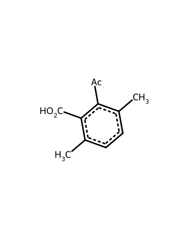 CC(=O)c1c(C)ccc(C)c1C(=O)O